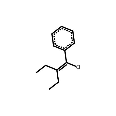 CCC(CC)=C(Cl)c1ccccc1